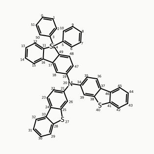 c1ccc([Si]2(c3ccccc3)c3ccccc3-c3cc(N(c4ccc5c(c4)sc4ccccc45)c4ccc5c(c4)sc4ccccc45)ccc32)cc1